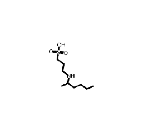 CCCCC(C)NCCCS(=O)(=O)O